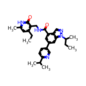 CCc1cc(C)[nH]c(=O)c1CNC(=O)c1cc(-c2ccc(C(C)C)nc2)cc2c1cnn2C(C)CC